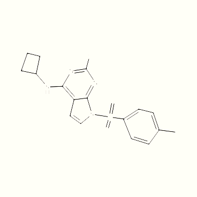 Cc1ccc(S(=O)(=O)n2ccc3c(NC4CCC4)nc(Cl)nc32)cc1